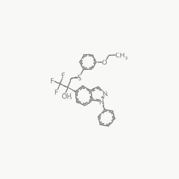 CCOc1cccc(SCC(O)(c2ccc3c(cnn3-c3ccccc3)c2)C(F)(F)F)c1